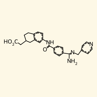 NC(=NCc1ccncc1)c1ccc(C(=O)Nc2ccc3c(c2)CC(CC(=O)O)CC3)cc1